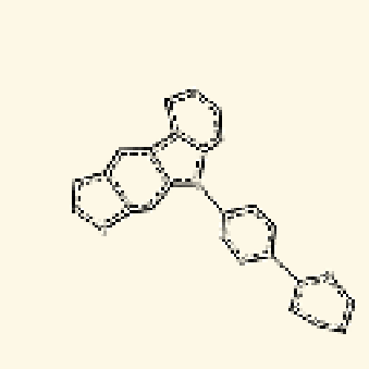 c1ccc(-c2ccc(-n3c4ccccc4c4cc5ccoc5cc43)cc2)nc1